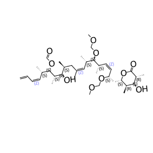 C=C/C=C\[C@H](C)[C@H](OC=O)[C@@H](C)[C@H](O)[C@@H](C)C/C(C)=C\[C@H](C)[C@@H](OCOC)[C@@H](C)/C=C\[C@H](C[C@@H]1OC(=O)[C@H](C)[C@@H](O)[C@H]1C)OCOC